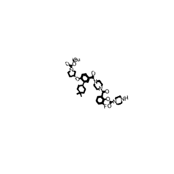 CC1(C)CCC(c2cc(C(=O)N3CCN(C(=O)c4cccc(F)c4OC(=O)N4CCNCC4)CC3)ccc2O[C@H]2CCN(C(=O)OC(C)(C)C)C2)CC1